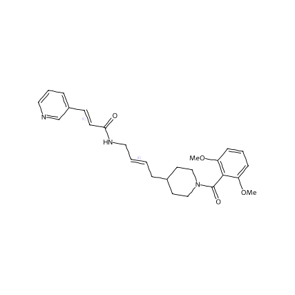 COc1cccc(OC)c1C(=O)N1CCC(C/C=C/CNC(=O)/C=C/c2cccnc2)CC1